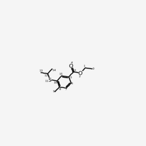 CCOC(=O)c1ccc(C)c(SC(C)C)c1